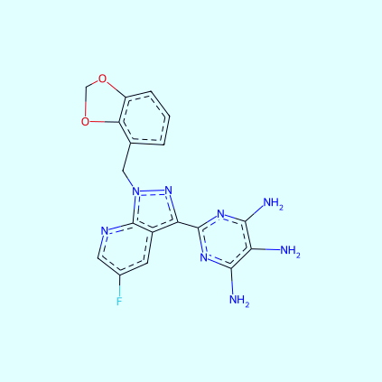 Nc1nc(-c2nn(Cc3cccc4c3OCO4)c3ncc(F)cc23)nc(N)c1N